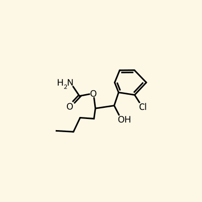 CCCCC(OC(N)=O)C(O)c1ccccc1Cl